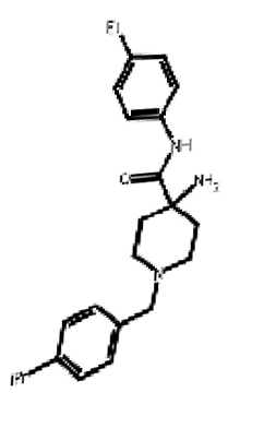 CCc1ccc(NC(=O)C2(N)CCN(Cc3ccc(C(C)C)cc3)CC2)cc1